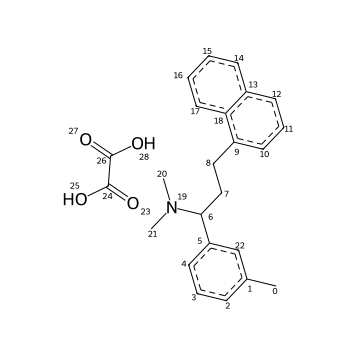 Cc1cccc(C(CCc2cccc3ccccc23)N(C)C)c1.O=C(O)C(=O)O